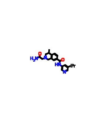 CC(C)c1cncc(NC(=O)c2ccc3c(c2)CN(CC(N)=O)CC3C)c1